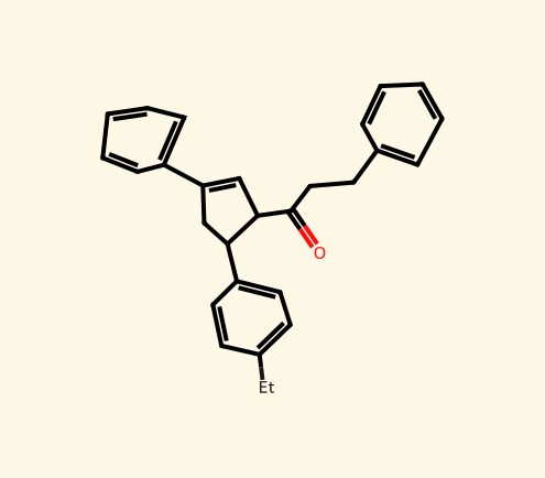 CCc1ccc(C2CC(c3ccccc3)=CC2C(=O)CCc2ccccc2)cc1